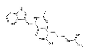 CC(=O)N[C@@H](Cc1c[nH]c2ccccc12)C(=O)N[C@@H](CCCNC(=N)N)C(=O)O